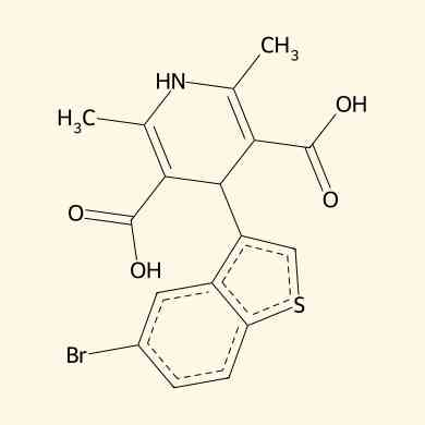 CC1=C(C(=O)O)C(c2csc3ccc(Br)cc23)C(C(=O)O)=C(C)N1